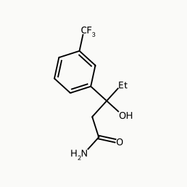 CCC(O)(CC(N)=O)c1cccc(C(F)(F)F)c1